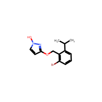 CC(C)c1cccc(Br)c1COc1ccn(O)n1